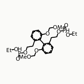 CCO[PH](=O)OCCc1cccc(OCOC)c1-c1c(CCO[PH](=O)OCC)cccc1OCOC